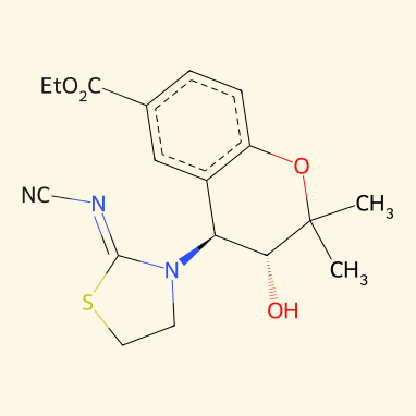 CCOC(=O)c1ccc2c(c1)[C@H](N1CCSC1=NC#N)[C@@H](O)C(C)(C)O2